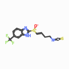 [O-][S+](/C=C/CCN=C=S)c1nc2ccc(C(F)(F)F)cc2[nH]1